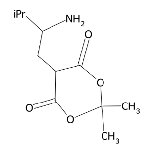 CC(C)C(N)CC1C(=O)OC(C)(C)OC1=O